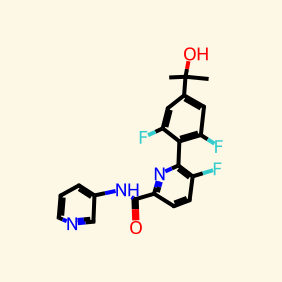 CC(C)(O)c1cc(F)c(-c2nc(C(=O)Nc3cccnc3)ccc2F)c(F)c1